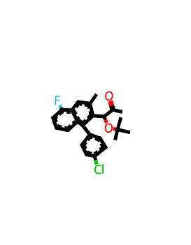 CC(=O)C(OC(C)(C)C)c1c(C)cc2c(F)cccc2c1-c1ccc(Cl)cc1